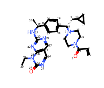 C=CC(=O)N1CCN([C@@H](CC2CC2)c2ccc([C@H](C)Nc3ncc4cnc(=O)n(CC)c4n3)cc2)CC1